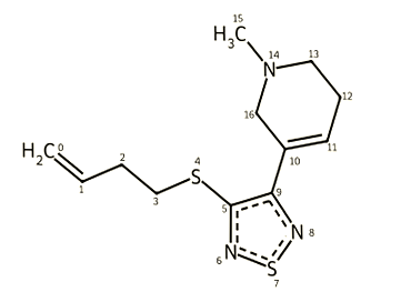 C=CCCSc1nsnc1C1=CCCN(C)C1